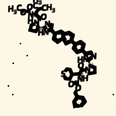 COC(=O)N[C@H](C(=O)N1CCC[C@H]1c1ncc(-c2ccc3cc(-c4ccc(-c5cnc([C@@H]6CCCN6C(=O)[C@@H](NC(=O)OCc6ccccc6)C6CCSCC6)[nH]5)cc4)ccc3c2)[nH]1)C(C)C